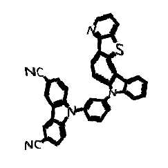 N#Cc1ccc2c(c1)c1cc(C#N)ccc1n2-c1cccc(-n2c3ccccc3c3c4sc5cccnc5c4ccc32)c1